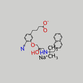 CC(C)(Cc1ccc2ccccc2c1)NC[C@@H](O)COc1cc(CCCC(=O)[O-])ccc1C#N.[Na+]